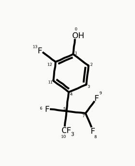 Oc1ccc(C(F)(C(F)F)C(F)(F)F)cc1F